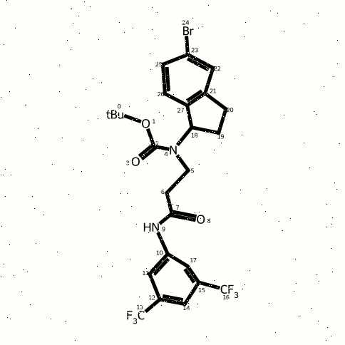 CC(C)(C)OC(=O)N(CCC(=O)Nc1cc(C(F)(F)F)cc(C(F)(F)F)c1)C1CCc2cc(Br)ccc21